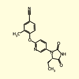 CC[C@@H]1C(=O)NC(=O)N1c1ccc(Oc2ccc(C#N)cc2C)nc1